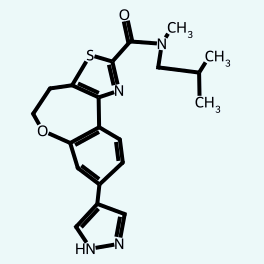 CC(C)CN(C)C(=O)c1nc2c(s1)CCOc1cc(-c3cn[nH]c3)ccc1-2